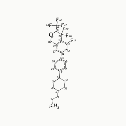 CCCC1CCC(c2ccc(-c3cc(F)c4c(c3)COC(C(F)(F)F)C4(F)F)cc2)CC1